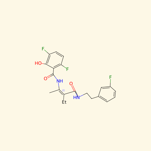 CC/C(C(=O)NCCc1cccc(F)c1)=C(\C)NC(=O)c1c(F)ccc(F)c1O